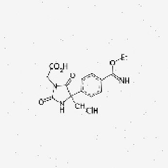 CCOC(=N)c1ccc(C2(C)NC(=O)N(CC(=O)O)C2=O)cc1.Cl